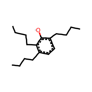 CCCCc1ccc(CCCC)c(CCCC)c1[O]